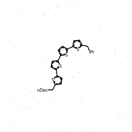 CCCCCCCCCCCc1ccc(-c2ccc(-c3ccc(-c4ccc(CC(C)C)s4)s3)s2)s1